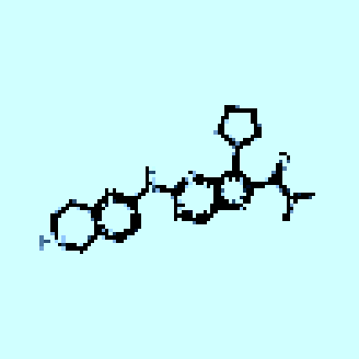 CN(C)C(=O)c1sc2cnc(Nc3ccc4c(n3)CCNC4)nc2c1C1CCCC1